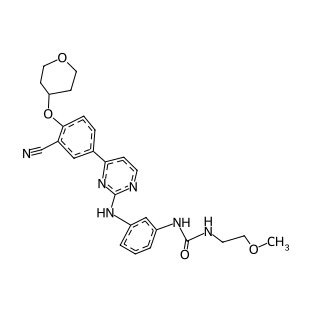 COCCNC(=O)Nc1cccc(Nc2nccc(-c3ccc(OC4CCOCC4)c(C#N)c3)n2)c1